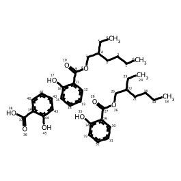 CCCCC(CC)COC(=O)c1ccccc1O.CCCCC(CC)COC(=O)c1ccccc1O.O=C(O)c1ccccc1O